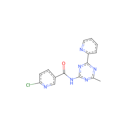 Cc1nc(NC(=O)c2ccc(Cl)nc2)nc(-c2ccccn2)n1